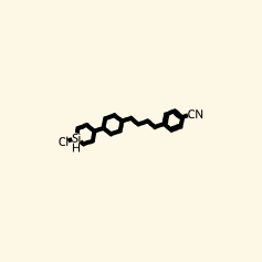 N#Cc1ccc(CCCCC2CCC(C3CC[SiH](Cl)CC3)CC2)cc1